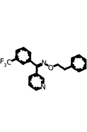 FC(F)(F)c1cccc(C(=NOCCc2ccccc2)c2cccnc2)c1